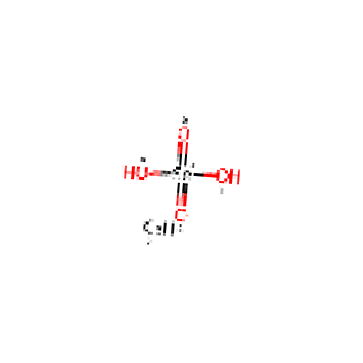 O=[Se](=O)(O)O.[CsH]